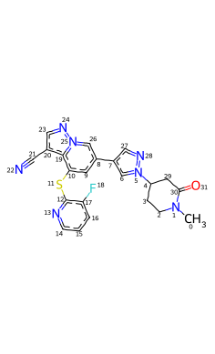 CN1CCC(n2cc(-c3cc(Sc4ncccc4F)c4c(C#N)cnn4c3)cn2)CC1=O